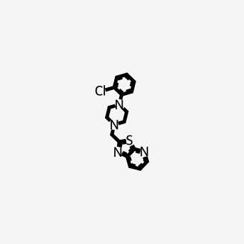 Clc1ccccc1N1CCN(Cc2nc3cccnc3s2)CC1